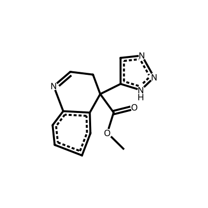 COC(=O)C1(c2cnn[nH]2)CC=Nc2ccccc21